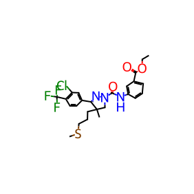 CCOC(=O)c1cccc(NC(=O)N2CC(C)(CCCSC)C(c3ccc(C(F)(F)F)c(Cl)c3)=N2)c1